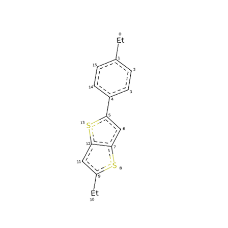 CCc1ccc(-c2cc3sc(CC)cc3s2)cc1